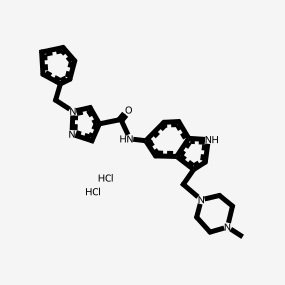 CN1CCN(Cc2c[nH]c3ccc(NC(=O)c4cnn(Cc5ccccc5)c4)cc23)CC1.Cl.Cl